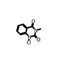 Cn1c(=O)c2ccccc2n(Cl)c1=O